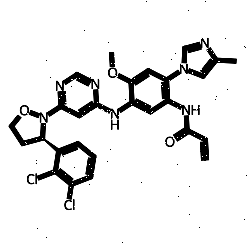 C=CC(=O)Nc1cc(Nc2cc(N3OCC[C@@H]3c3cccc(Cl)c3Cl)ncn2)c(OC)cc1-n1cnc(C)c1